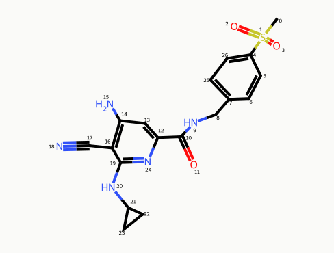 CS(=O)(=O)c1ccc(CNC(=O)c2cc(N)c(C#N)c(NC3CC3)n2)cc1